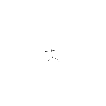 CCC(Cl)C(C)(C)O